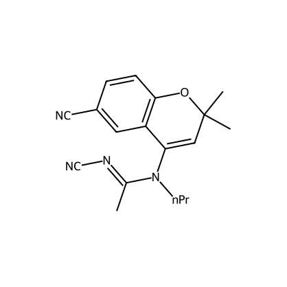 CCCN(C1=CC(C)(C)Oc2ccc(C#N)cc21)C(C)=NC#N